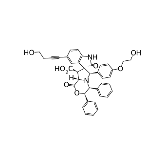 O=C1O[C@H](c2ccccc2)[C@H](c2ccccc2)N2[C@H]1[C@@H](C(=O)O)[C@]1(C(=O)Nc3ccc(C#CCCO)cc31)[C@H]2c1ccc(OCCO)cc1